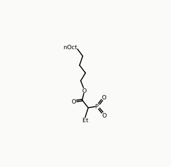 CCCCCCCCCCCCOC(=O)C(CC)P(=O)=O